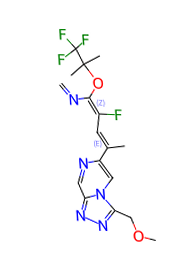 C=N/C(OC(C)(C)C(F)(F)F)=C(F)\C=C(/C)c1cn2c(COC)nnc2cn1